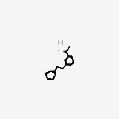 O=C(CO)c1cccc(CCc2ccccc2)c1